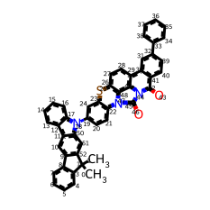 CC1(C)c2ccccc2-c2cc3c4ccccc4n(-c4ccc5c(c4)sc4ccc6c7cc(-c8ccccc8)ccc7c(=O)n7c(=O)n5c4c67)c3cc21